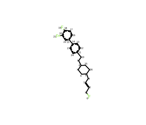 FC/C=C/CC1CCC(CCc2ccc(-c3ccc(F)c(F)c3)cc2)CC1